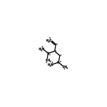 C=CC(CN(C)N)N(C)N